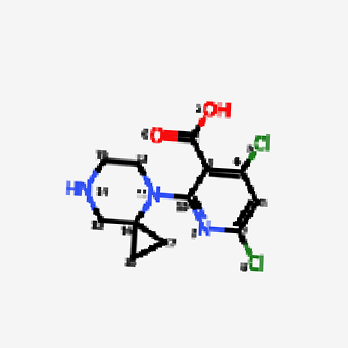 O=C(O)c1c(Cl)cc(Cl)nc1N1CCNCC12CC2